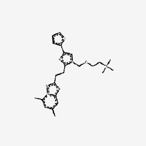 Cc1cc(C)n2nc(CCc3nc(-c4cccs4)cn3COCCS(C)(C)C)nc2c1